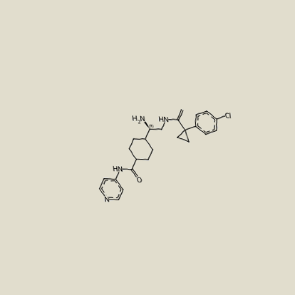 C=C(NC[C@H](N)C1CCC(C(=O)Nc2ccncc2)CC1)C1(c2ccc(Cl)cc2)CC1